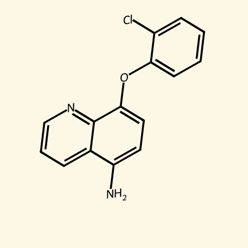 Nc1ccc(Oc2ccccc2Cl)c2ncccc12